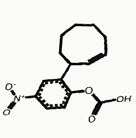 O=C(O)Oc1ccc([N+](=O)[O-])cc1C1C=CCCCCC1